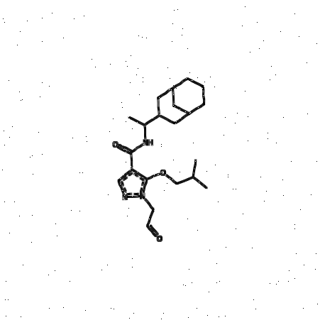 CC(C)COc1c(C(=O)NC(C)C2CC3CCCC(C3)C2)cnn1CC=O